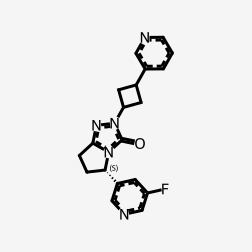 O=c1n(C2CC(c3cccnc3)C2)nc2n1[C@H](c1cncc(F)c1)CC2